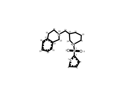 O=S(=O)(c1cccs1)N1CCCC(CN2CCc3ccccc3C2)C1